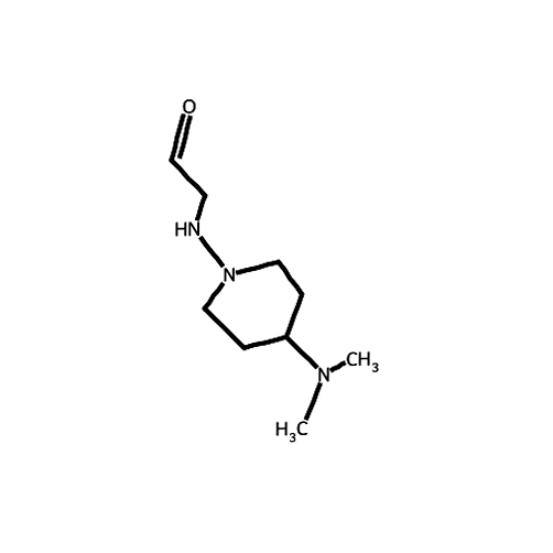 CN(C)C1CCN(NCC=O)CC1